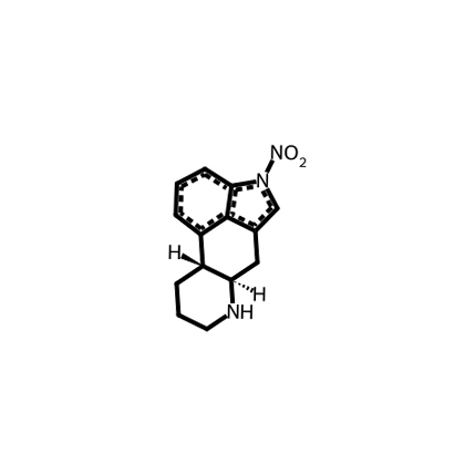 O=[N+]([O-])n1cc2c3c(cccc31)[C@H]1CCCN[C@@H]1C2